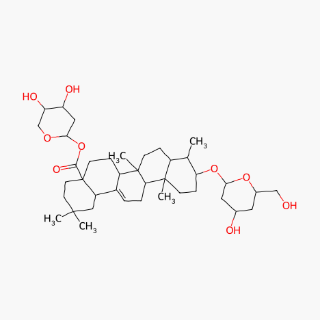 CC1C(OC2CC(O)CC(CO)O2)CCC2(C)C1CCC1(C)C3CCC4(C(=O)OC5CC(O)C(O)CO5)CCC(C)(C)CC4C3=CCC12